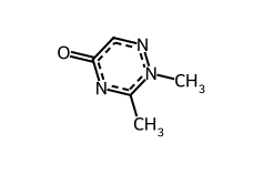 Cc1nc(=O)cnn1C